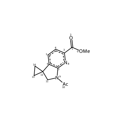 COC(=O)c1ccc2c(n1)N(C(C)=O)CC21CC1